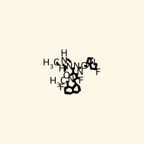 CCc1c(F)ccc2cccc(-c3nc4c5c(nc(OC[C@@]67CCCN6C[C@H](F)C7)nc5c3F)N3CCN[C@@H](CC)[C@H]3CO4)c12